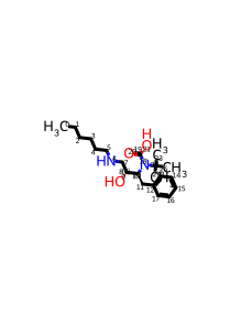 CCCCCCNC[C@@H](O)[C@H](Cc1ccccc1)N(C(=O)O)C(C)(C)C